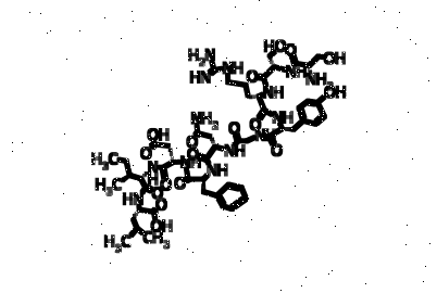 CC[C@H](C)[C@H](NC(=O)[C@H](CC(=O)O)NC(=O)[C@H](Cc1ccccc1)NC(=O)[C@H](CC(N)=O)NC(=O)CNC(=O)[C@H](Cc1ccc(O)cc1)NC(=O)[C@H](CCCNC(=N)N)NC(=O)[C@H](CO)NC(=O)[C@@H](N)CO)C(=O)N[C@@H](CC(C)C)C(=O)O